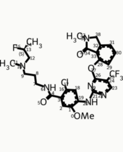 COc1cc(C(=O)NCCCN(C)C[C@H](C)F)c(Cl)cc1Nc1ncc(C(F)(F)F)c(Oc2cccc3c2C(=O)N(C)C3)n1